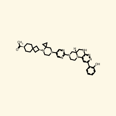 CC(=O)[C@H]1CCC2(CC1)C[C@H](N1CCN(c3cnc(N4CCN5c6cc(-c7ccccc7O)nnc6NC[C@H]5C4)nc3)CC13CC3)C2